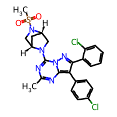 Cc1nc(N2C[C@@H]3C[C@H]2CN3S(C)(=O)=O)n2nc(-c3ccccc3Cl)c(-c3ccc(Cl)cc3)c2n1